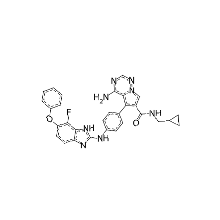 Nc1ncnn2cc(C(=O)NCC3CC3)c(-c3ccc(Nc4nc5ccc(Oc6ccccc6)c(F)c5[nH]4)cc3)c12